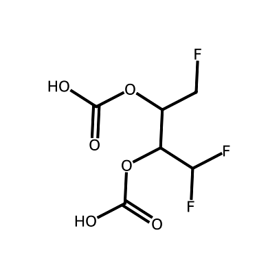 O=C(O)OC(CF)C(OC(=O)O)C(F)F